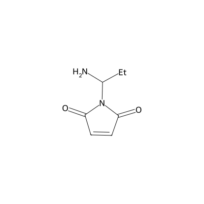 CCC(N)N1C(=O)C=CC1=O